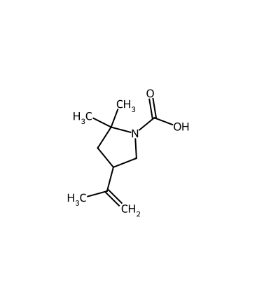 C=C(C)C1CN(C(=O)O)C(C)(C)C1